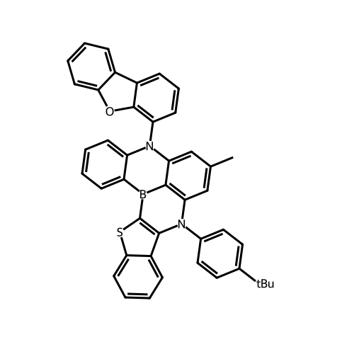 Cc1cc2c3c(c1)N(c1cccc4c1oc1ccccc14)c1ccccc1B3c1sc3ccccc3c1N2c1ccc(C(C)(C)C)cc1